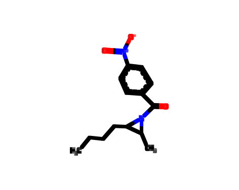 CCCCC1C(C)N1C(=O)c1ccc([N+](=O)[O-])cc1